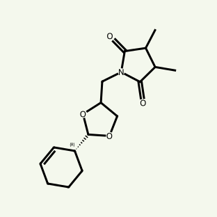 CC1C(=O)N(CC2COC([C@H]3C=CCCC3)O2)C(=O)C1C